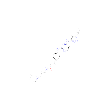 O=C(CCc1ccc(Nc2nccc(Nc3cc(C4CC4)n[nH]3)n2)cc1)NCCCN1CCCCC1